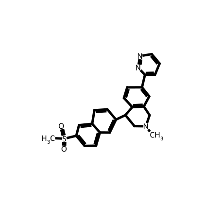 CN1Cc2cc(-c3cccnn3)ccc2C(c2ccc3cc(S(C)(=O)=O)ccc3c2)C1